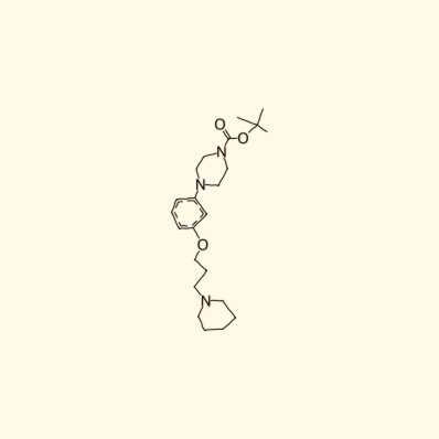 CC(C)(C)OC(=O)N1CCN(c2cccc(OCCCN3CCCCC3)c2)CC1